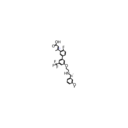 COc1cccc([C@@H](C)NCCOc2cc(-c3ccc(F)c(/C(C)=C/C(=O)O)c3)cc(C(F)(F)F)c2)c1